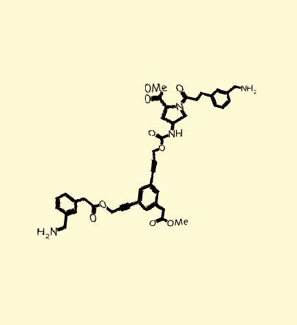 COC(=O)Cc1cc(C#CCOC(=O)Cc2cccc(CN)c2)cc(C#CCOC(=O)NC2CC(C(=O)OC)N(C(=O)CCc3cccc(CN)c3)C2)c1